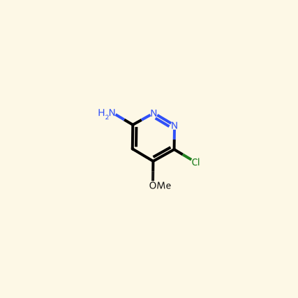 COc1cc(N)nnc1Cl